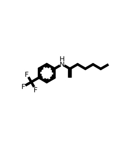 C=C(CCCCC)Nc1ccc(C(F)(F)F)cc1